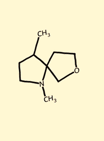 CC1CCN(C)C12CCOC2